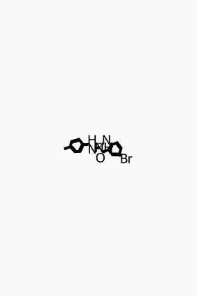 Cc1ccc(C=NNC(=O)c2cc(Br)ccc2N)cc1